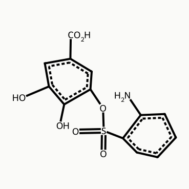 Nc1ccccc1S(=O)(=O)Oc1cc(C(=O)O)cc(O)c1O